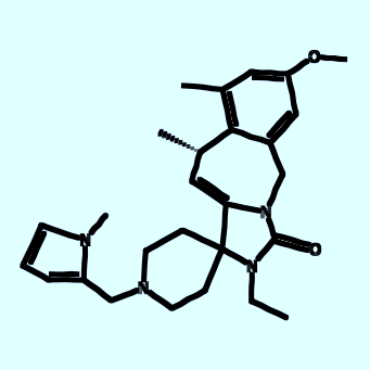 CCN1C(=O)N2Cc3cc(OC)cc(C)c3[C@@H](C)C=C2C12CCN(Cc1cccn1C)CC2